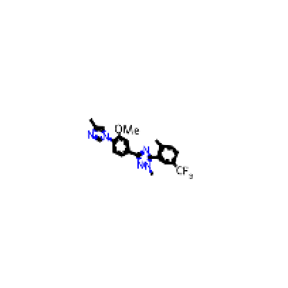 COc1cc(-c2nc(-c3cc(C(F)(F)F)ccc3C)n(C)n2)ccc1-n1cnc(C)c1